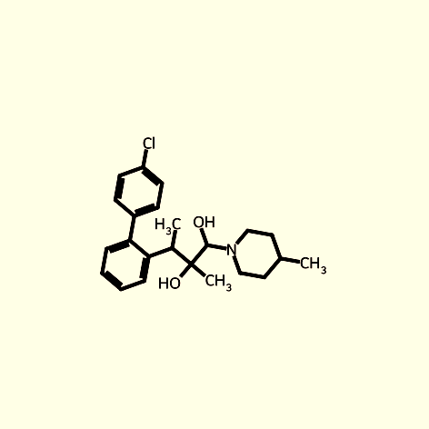 CC1CCN(C(O)C(C)(O)C(C)c2ccccc2-c2ccc(Cl)cc2)CC1